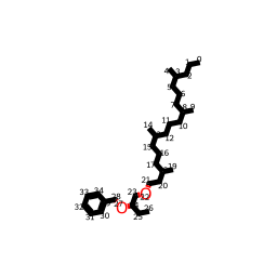 CCCC(C)CCCC(C)CCCC(C)CCCC(C)CCOCC(CC)OCc1ccccc1